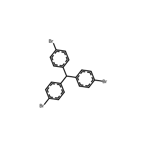 Brc1ccc(C(c2ccc(Br)cc2)c2ccc(Br)cc2)cc1